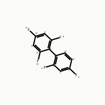 Fc1[c]c(F)c(-c2c(F)cc(F)cc2F)cc1